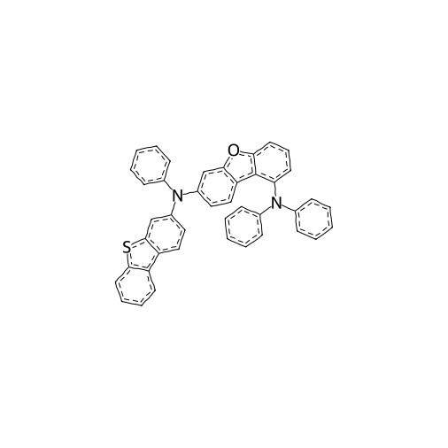 c1ccc(N(c2ccc3c(c2)oc2cccc(N(c4ccccc4)c4ccccc4)c23)c2ccc3c(c2)sc2ccccc23)cc1